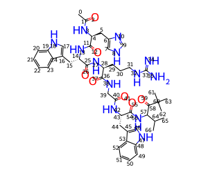 CC(=O)N[C@@H](Cc1c[nH]cn1)C(=O)N[C@@H](Cc1c[nH]c2ccccc12)C(=O)N[C@@H](CCCNC(=N)N)C(=O)NCC(=O)N[C@@H](Cc1c[nH]c2ccccc12)C(=O)NC(C(=O)C(C)(C)C)C(C)C